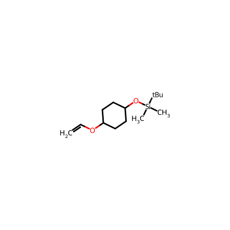 C=COC1CCC(O[Si](C)(C)C(C)(C)C)CC1